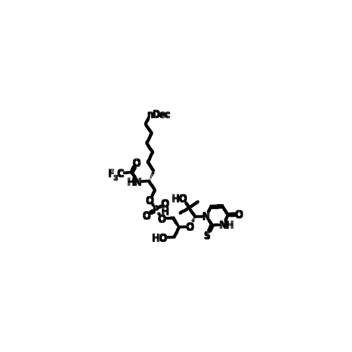 CCCCCCCCCCCCCCCC[C@H](COP(=O)(O)OC[C@H](CO)O[C@@H](n1ccc(=O)[nH]c1=S)C(C)(C)O)NC(=O)C(F)(F)F